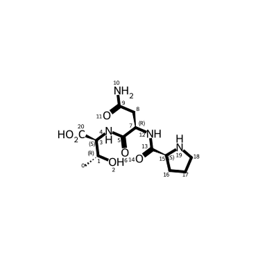 C[C@@H](O)[C@H](NC(=O)[C@@H](CC(N)=O)NC(=O)[C@@H]1CCCN1)C(=O)O